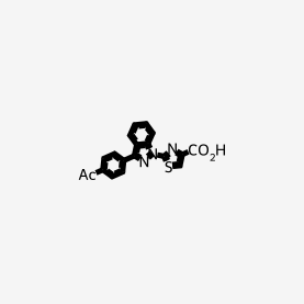 CC(=O)c1ccc(-c2nn(-c3nc(C(=O)O)cs3)c3ccccc23)cc1